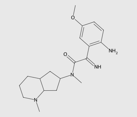 COc1ccc(N)c(C(=N)C(=O)N(C)C2CC3CCCN(C)C3C2)c1